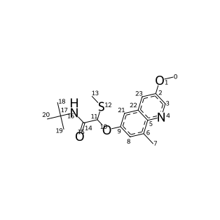 COc1cnc2c(C)cc(OC(SC)C(=O)NC(C)(C)C)cc2c1